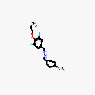 C=CCOc1c(F)cc(/C=N/N=C/c2ccc(C)cc2)cc1F